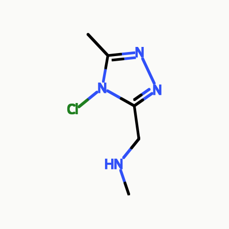 CNCc1nnc(C)n1Cl